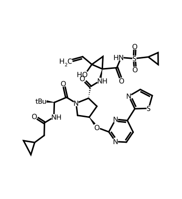 C=CC1(O)C[C@]1(NC(=O)[C@@H]1C[C@@H](Oc2nccc(-c3nccs3)n2)CN1C(=O)[C@@H](NC(=O)CC1CC1)C(C)(C)C)C(=O)NS(=O)(=O)C1CC1